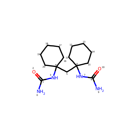 NC(=O)NC1(CC2(NC(N)=O)CCCCC2)CCCCC1